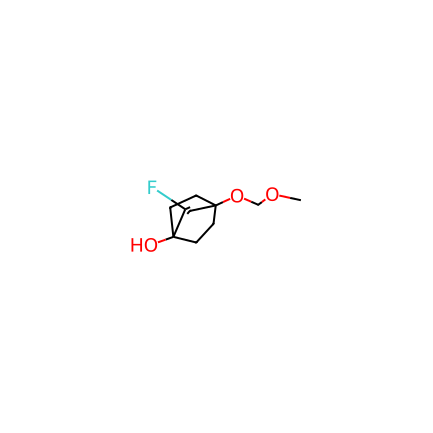 COCOC12C=C(F)C(O)(CC1)CC2